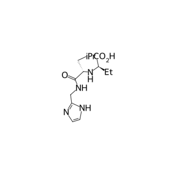 CC[C@@H](N[C@@H](CC(C)C)C(=O)NCc1ncc[nH]1)C(=O)O